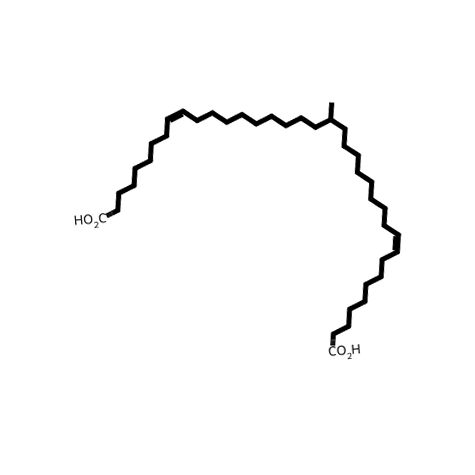 CC(CCCCCCCC/C=C\CCCCCCCC(=O)O)CCCCCCCCC/C=C\CCCCCCCC(=O)O